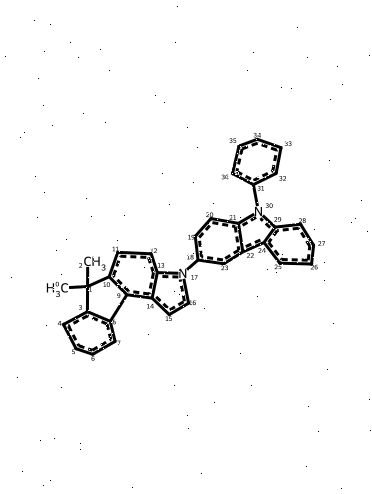 CC1(C)c2ccccc2-c2c1ccc1c2ccn1-c1ccc2c(c1)c1ccccc1n2-c1ccccc1